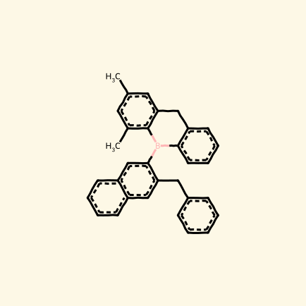 Cc1cc(C)c2c(c1)Cc1ccccc1B2c1cc2ccccc2cc1Cc1ccccc1